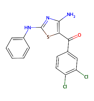 Nc1nc(Nc2ccccc2)sc1C(=O)c1ccc(Cl)c(Cl)c1